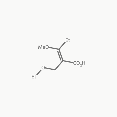 CCOCC(C(=O)O)=C(CC)OC